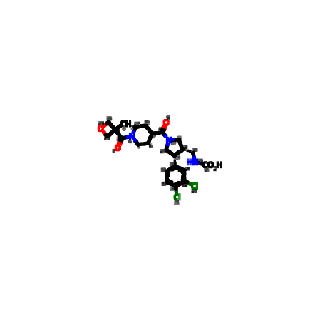 CC1(C(=O)N2CCC(C(=O)N3C[C@H](CNC(=O)O)[C@H](c4ccc(Cl)c(Cl)c4)C3)CC2)COC1